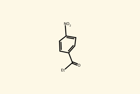 [CH2]CC(=O)c1ccc([N+](=O)[O-])cc1